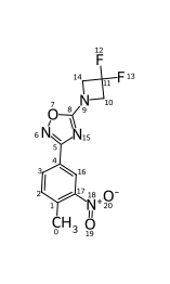 Cc1ccc(-c2noc(N3CC(F)(F)C3)n2)cc1[N+](=O)[O-]